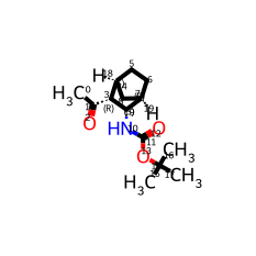 CC(=O)[C@@H]1[C@H]2CC[C@H](C2)[C@@H]1NC(=O)OC(C)(C)C